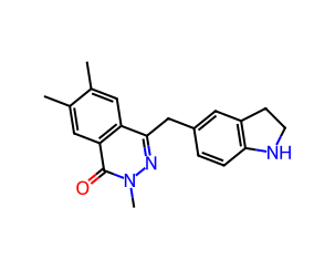 Cc1cc2c(Cc3ccc4c(c3)CCN4)nn(C)c(=O)c2cc1C